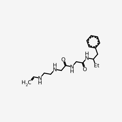 C=CNCCNCC(=O)NCC(=O)NC(CC)Cc1ccccc1